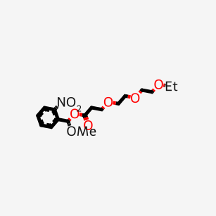 CCOCCOCCOCCC(=O)OC(OC)c1ccccc1[N+](=O)[O-]